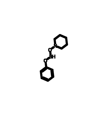 B(Oc1ccccc1)ON1CCCCC1